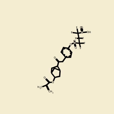 C=C(C)C(=O)OC1CC2CC1CC2C(=O)Cc1ccc(OS(=O)(=O)C(F)(F)C(F)(F)C(F)(F)S(=O)(=O)O)cc1